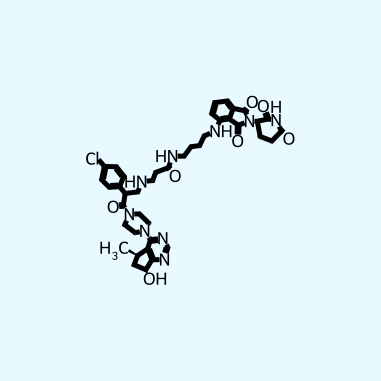 C[C@@H]1C[C@@H](O)c2ncnc(N3CCN(C(=O)C(CNCCC(=O)NCCCCNc4cccc5c4C(=O)N(C4CCC(=O)NC4=O)C5=O)c4ccc(Cl)cc4)CC3)c21